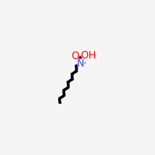 CCCCCCCCCC[N]C(=O)O